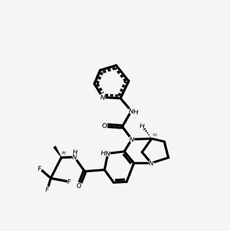 C[C@@H](NC(=O)C1C=CC2=C(N1)N(C(=O)Nc1ccccn1)[C@H]1CCN2C1)C(F)(F)F